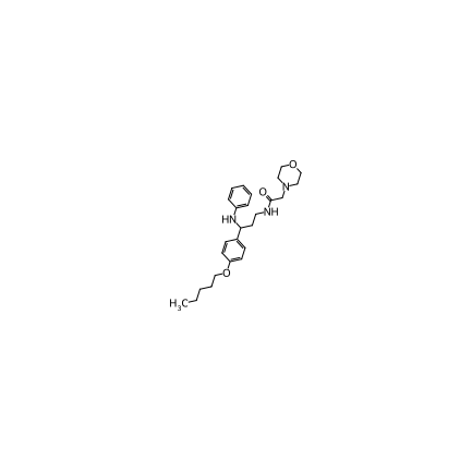 CCCCCOc1ccc(C(CCNC(=O)CN2CCOCC2)Nc2ccccc2)cc1